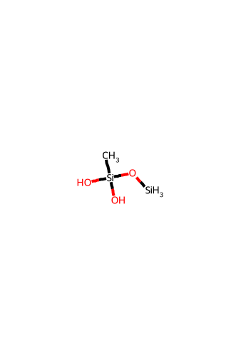 C[Si](O)(O)O[SiH3]